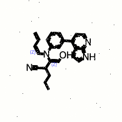 C=C/C=C\N(/C(=C\O)C(C#N)CCC)c1cccc(-c2ccnc3[nH]ccc23)c1